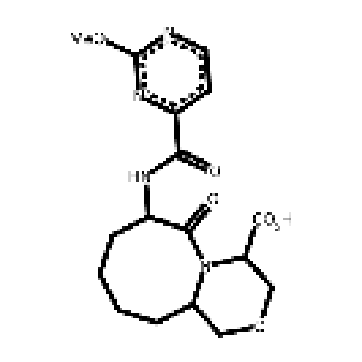 COc1nccc(C(=O)NC2CCCCC3COCC(C(=O)O)N3C2=O)n1